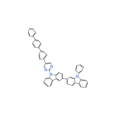 c1ccc(-c2ccc(-c3ccc(-c4cnc(-n5c6ccccc6c6cc(-c7ccc8c9ccccc9n(-c9ccccc9)c8c7)ccc65)nc4)cc3)cc2)cc1